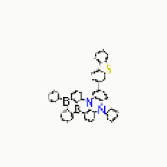 c1ccc(B2c3ccccc3B3c4cccc5c4N(c4cc(-c6ccc7c(c6)sc6ccccc67)ccc4N5c4ccccc4)c4cccc2c43)cc1